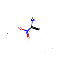 C=C(N)[N+](=O)[O-]